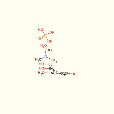 CC#N.CC(C)O.CCO.CCOC(C)=O.CN(C)C=O.CO.O.O=P(O)(O)O